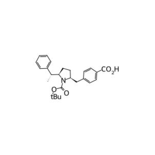 C[C@H](c1ccccc1)[C@H]1CC[C@@H](Cc2ccc(C(=O)O)cc2)N1C(=O)OC(C)(C)C